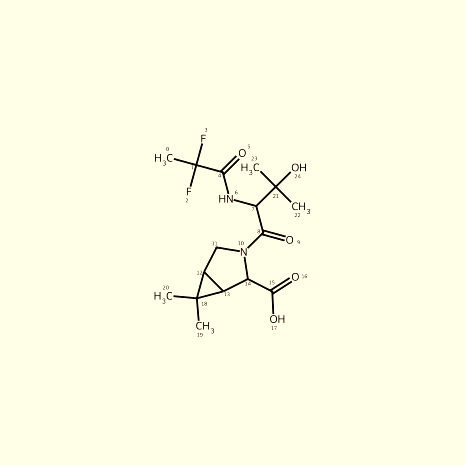 CC(F)(F)C(=O)NC(C(=O)N1CC2C(C1C(=O)O)C2(C)C)C(C)(C)O